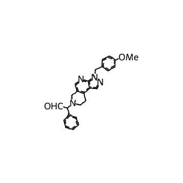 COc1ccc(Cn2ncc3c4c(cnc32)CN(C(C=O)c2ccccc2)CC4)cc1